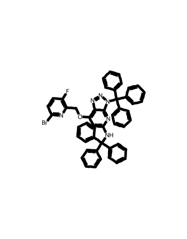 Fc1ccc(Br)nc1COc1cc(NC(c2ccccc2)(c2ccccc2)c2ccccc2)nc2c1nnn2C(c1ccccc1)(c1ccccc1)c1ccccc1